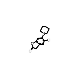 O=C1Cc2cc(Cl)c(N3CCCCC3)cc2O1